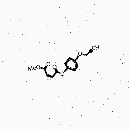 C#CCOc1ccc(OC(=O)/C=C\C(=O)OC)cc1